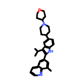 Cc1cc(-c2[nH]c3ccc(C4CCN(C5CCOCC5)CC4)cc3c2C(C)C)cc2cccnc12